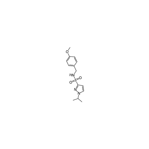 COc1ccc(CNS(=O)(=O)c2ccn(C(C)C)n2)cc1